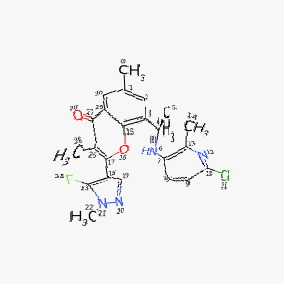 Cc1cc([C@@H](C)Nc2ccc(Cl)nc2C)c2oc(-c3cnn(C)c3F)c(C)c(=O)c2c1